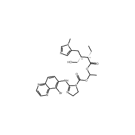 CC[C@H](C(=O)OC(C)OC(=O)N1CCN=C1Nc1ccc2nccnc2c1Br)[C@H](CO)Cc1cncn1C